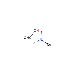 C[N](C)[Cu].O=CO